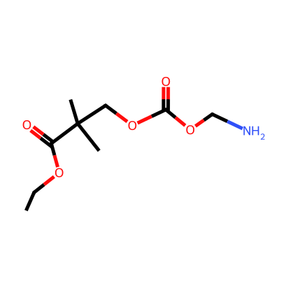 CCOC(=O)C(C)(C)COC(=O)OCN